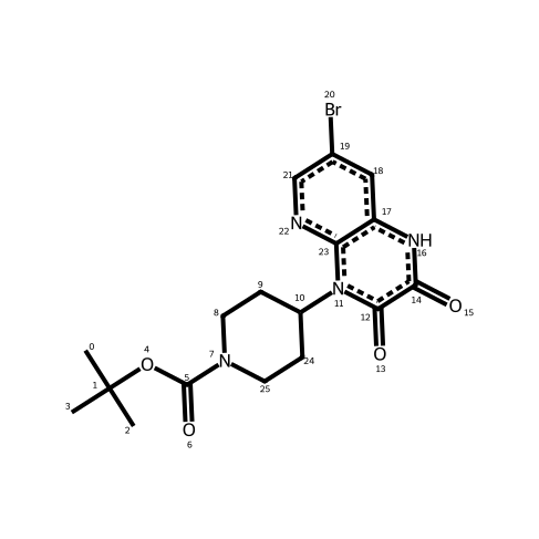 CC(C)(C)OC(=O)N1CCC(n2c(=O)c(=O)[nH]c3cc(Br)cnc32)CC1